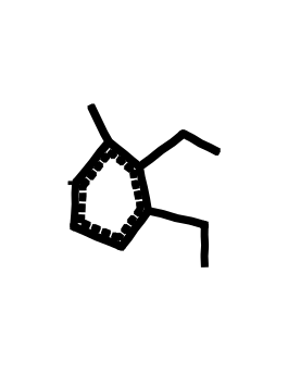 CCc1cc[c]c(C)c1CC